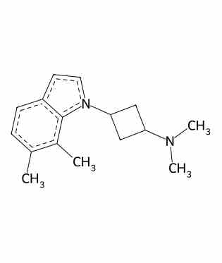 Cc1ccc2ccn(C3CC(N(C)C)C3)c2c1C